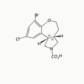 O=C(O)N1C[C@H]2CCOc3c(Br)cc(Cl)cc3[C@H]2C1